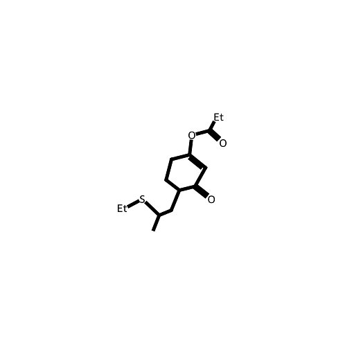 CCSC(C)CC1CCC(OC(=O)CC)=CC1=O